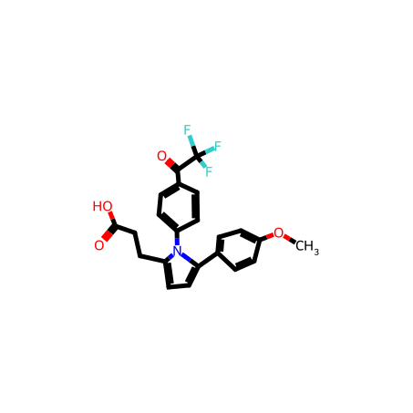 COc1ccc(-c2ccc(CCC(=O)O)n2-c2ccc(C(=O)C(F)(F)F)cc2)cc1